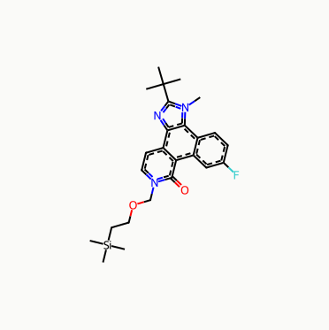 Cn1c(C(C)(C)C)nc2c3ccn(COCC[Si](C)(C)C)c(=O)c3c3cc(F)ccc3c21